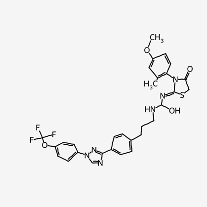 COc1ccc(N2C(=O)CS/C2=N\C(O)NCCCc2ccc(-c3ncn(-c4ccc(OC(F)(F)F)cc4)n3)cc2)c(C)c1